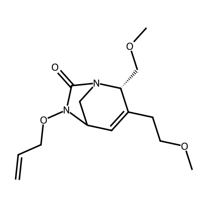 C=CCON1C(=O)N2CC1C=C(CCOC)[C@H]2COC